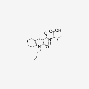 CCCCn1c2c(cc(C(=O)N[C@@H](C(=O)O)C(C)C)c1=O)CCCC2